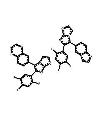 Fc1cc(F)c(-c2nc3occn3c2-c2ccc3nccn3c2)cc1F.Fc1cc(F)c(-c2nc3occn3c2-c2ccc3nccnc3c2)cc1F